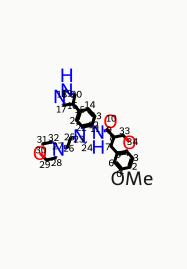 COc1ccc2c(c1)CC(C(=O)Nc1ccc(C3C=NNC3)cc1N(C)CCN1CCOCC1)CO2